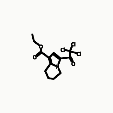 CCOC(=O)c1cc(C(=O)C(Cl)(Cl)Cl)n2c1CCCC2